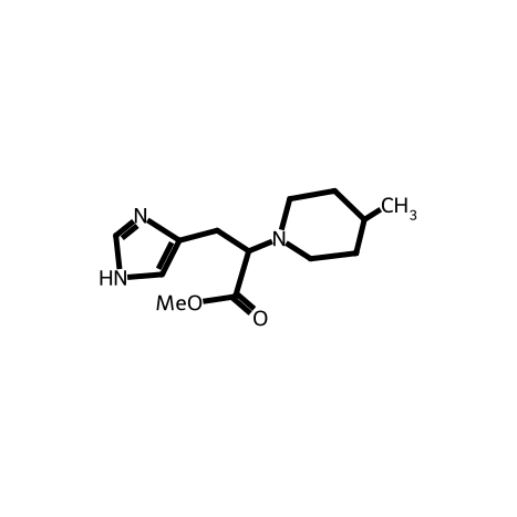 COC(=O)C(Cc1c[nH]cn1)N1CCC(C)CC1